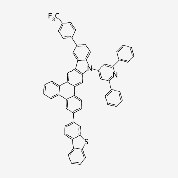 FC(F)(F)c1ccc(-c2ccc3c(c2)c2cc4c5ccccc5c5cc(-c6ccc7c(c6)sc6ccccc67)ccc5c4cc2n3-c2cc(-c3ccccc3)nc(-c3ccccc3)c2)cc1